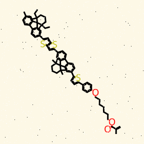 C=C(C)C(=O)OCCCCCCCOc1ccc(-c2ccc(-c3ccc4c(c3)C3(c5cc(-c6cc7sc(-c8ccc9c(c8)C8(c%10cc(C)ccc%10-9)C(CC)(CC)CCCC8(CC)CC)cc7s6)ccc5-4)C(C)(C)CCCC3(C)C)s2)cc1